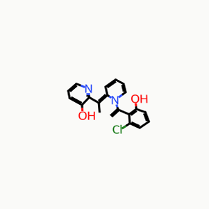 C=C(c1c(O)cccc1Cl)N1C=CC=C/C1=C(/C)c1ncccc1O